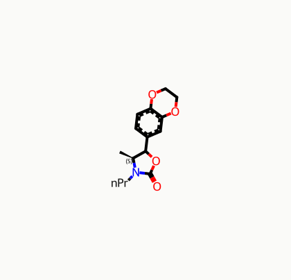 CCCN1C(=O)OC(c2ccc3c(c2)OCCO3)[C@@H]1C